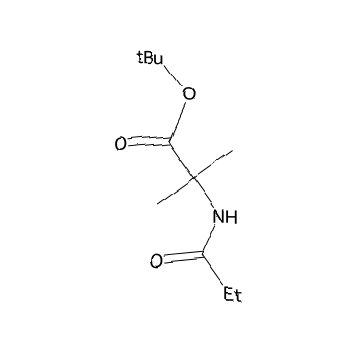 CCC(=O)NC(C)(C)C(=O)OC(C)(C)C